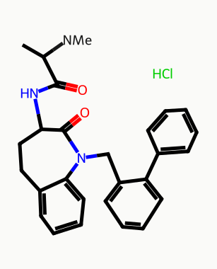 CNC(C)C(=O)NC1CCc2ccccc2N(Cc2ccccc2-c2ccccc2)C1=O.Cl